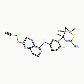 C#CCOc1cnc2c(Nc3ccc(F)c([C@@]4(C)N=C(N)S[C@H]5C[C@H]54)c3)nccc2n1